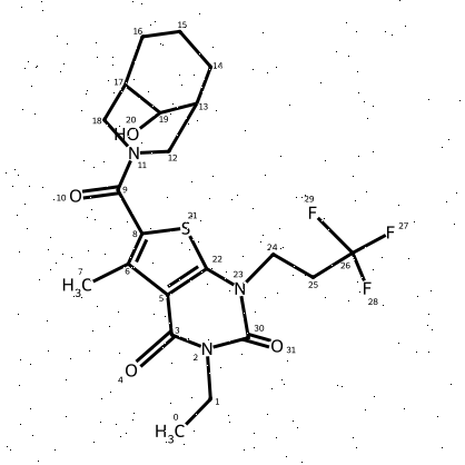 CCn1c(=O)c2c(C)c(C(=O)N3CC4CCCC(C3)C4O)sc2n(CCC(F)(F)F)c1=O